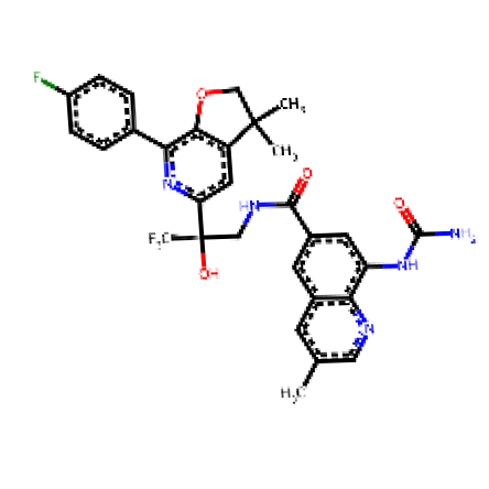 Cc1cnc2c(NC(N)=O)cc(C(=O)NC[C@](O)(c3cc4c(c(-c5ccc(F)cc5)n3)OCC4(C)C)C(F)(F)F)cc2c1